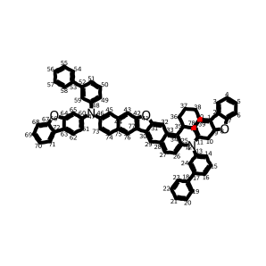 C1=C2c3ccccc3OC2CC(N(c2cccc(-c3ccccc3)c2)c2ccc3cc4c(cc3c2C2CCCCC2)oc2cc3cc(N(c5cccc(-c6ccccc6)c5)c5ccc6c(c5)oc5ccccc56)ccc3cc24)=C1